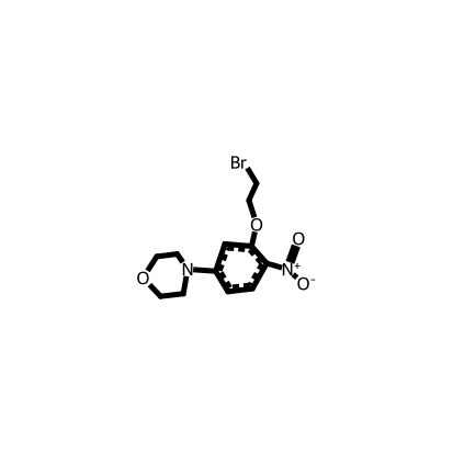 O=[N+]([O-])c1ccc(N2CCOCC2)cc1OCCBr